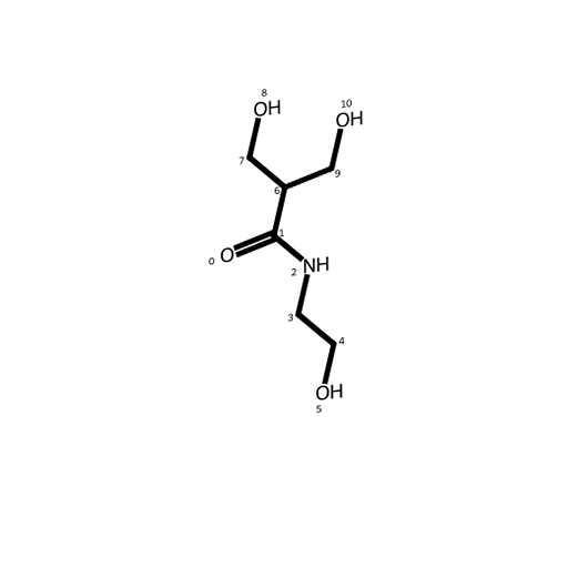 O=C(NCCO)C(CO)CO